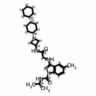 Cc1ccc2c(c1)c(NCC(=O)NC1CN([C@H]3CC[C@@H](C4CCCCC4)CC3)C1)nn2C(=O)NC(C)C